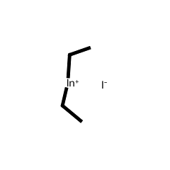 C[CH2][In+][CH2]C.[I-]